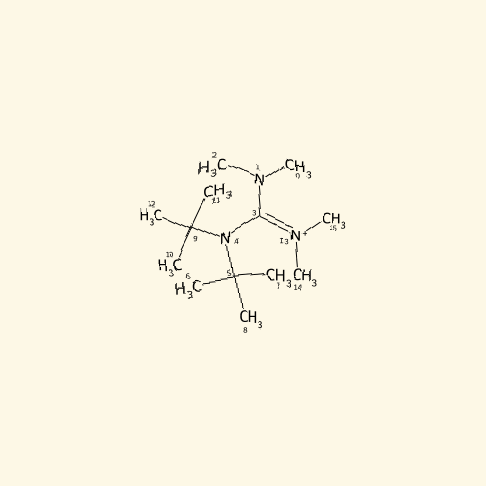 CN(C)C(N(C(C)(C)C)C(C)(C)C)=[N+](C)C